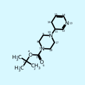 CC(C)(C)OC(=O)N1CCN(C2C=NC=CC2)CC1